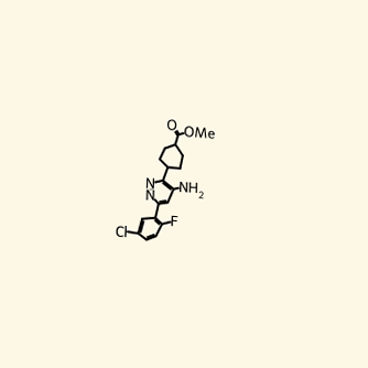 COC(=O)C1CCC(c2nnc(-c3cc(Cl)ccc3F)cc2N)CC1